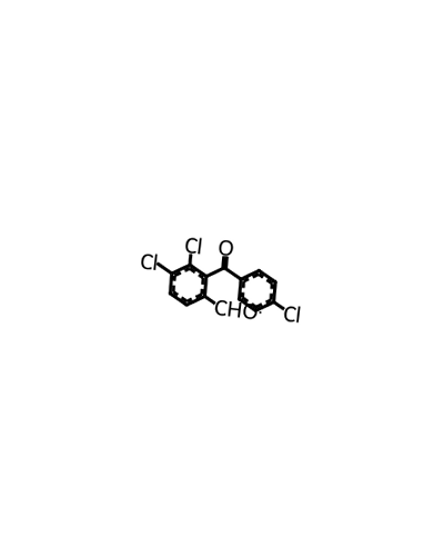 O=[C]c1ccc(Cl)c(Cl)c1C(=O)c1ccc(Cl)cc1